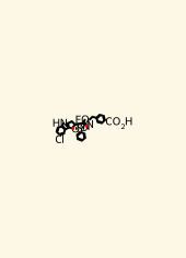 O=C(O)c1ccc(Cc2nnc(C(F)(C3Cc4[nH]c5ccc(Cl)cc5c4C3)S(=O)(=O)c3ccccc3)o2)cc1